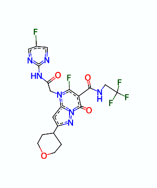 O=C(Cn1c(F)c(C(=O)NCC(F)(F)F)c(=O)n2nc(C3CCOCC3)cc12)Nc1ncc(F)cn1